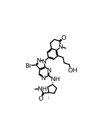 CNC(=O)[C@]1(C)CC[C@@H](Nc2ncc3c(Br)nn(-c4cc(CCCO)c5c(c4)CCC(=O)N5C)c3n2)C1